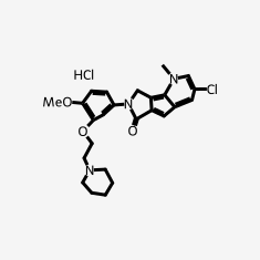 COc1ccc(N2Cc3c(cc4cc(Cl)cn(C)c3-4)C2=O)cc1OCCN1CCCCC1.Cl